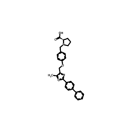 Cc1oc(-c2ccc(-c3ccccc3)cc2)nc1COc1ccc(CN2CCC[C@@H]2C(=O)O)cc1